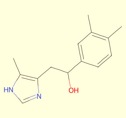 Cc1ccc(C(O)Cc2nc[nH]c2C)cc1C